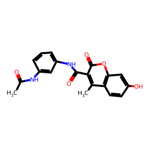 CC(=O)Nc1cccc(NC(=O)c2c(C)c3ccc(O)cc3oc2=O)c1